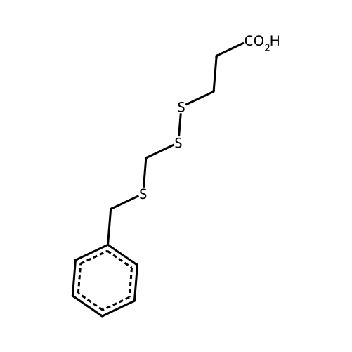 O=C(O)CCSSCSCc1ccccc1